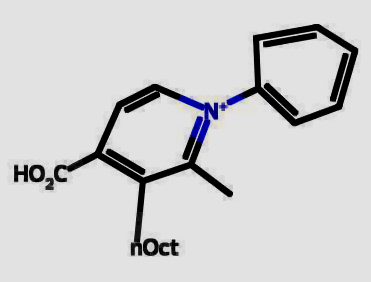 CCCCCCCCc1c(C(=O)O)cc[n+](-c2ccccc2)c1C